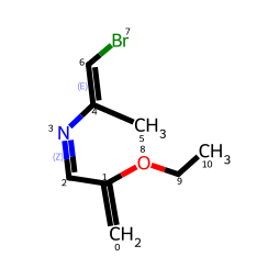 C=C(/C=N\C(C)=C\Br)OCC